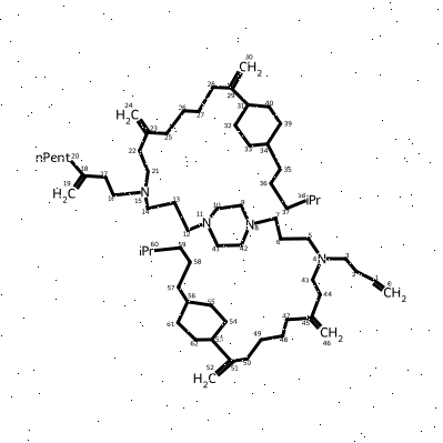 C=CCCN(CCCN1CCN(CCCN(CCC(=C)CCCCC)CCC(=C)CCCCC(=C)C2CCC(CCCC(C)C)CC2)CC1)CCC(=C)CCCCC(=C)C1CCC(CCCC(C)C)CC1